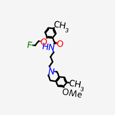 COc1cc2c(cc1C)CN(CCCCNC(=O)c1cc(C)ccc1OCCF)CC2